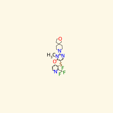 Cn1c(N2CCC3(CCOC3)CC2)ncc(Sc2cccnc2C(F)(F)F)c1=O